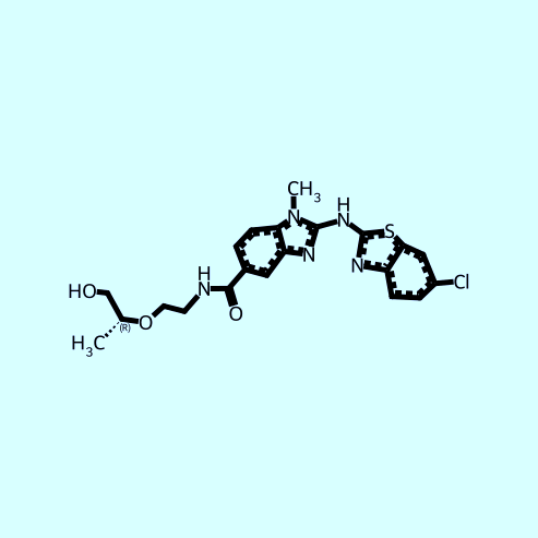 C[C@H](CO)OCCNC(=O)c1ccc2c(c1)nc(Nc1nc3ccc(Cl)cc3s1)n2C